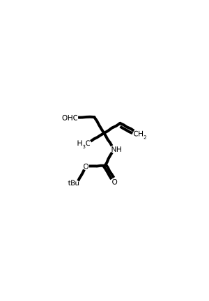 C=CC(C)(CC=O)NC(=O)OC(C)(C)C